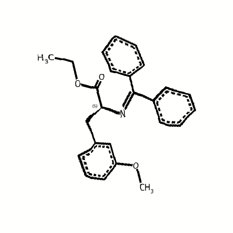 CCOC(=O)[C@H](Cc1cccc(OC)c1)N=C(c1ccccc1)c1ccccc1